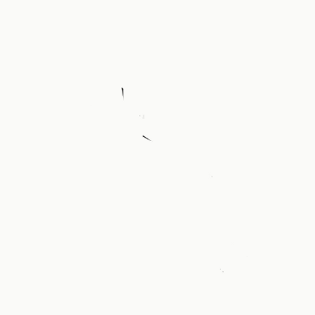 Cn1ccc2cc(S(=O)(=O)N[C@H]3CC[C@H](C(=O)N[C@H](CCO)c4ccccc4)CC3)ccc21